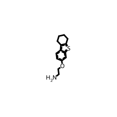 NCCOc1ccc2c3c(sc2c1)CCCC3